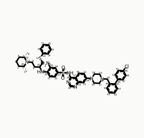 C[C@@H]1CCC[C@H](C)N1CCC(CSc1ccccc1)Nc1ccc(S(=O)(=O)Nc2ncnc3cc(N4CCN(Cc5ccccc5-c5ccc(Cl)cc5)CC4)ccc23)cc1[N+](=O)[O-]